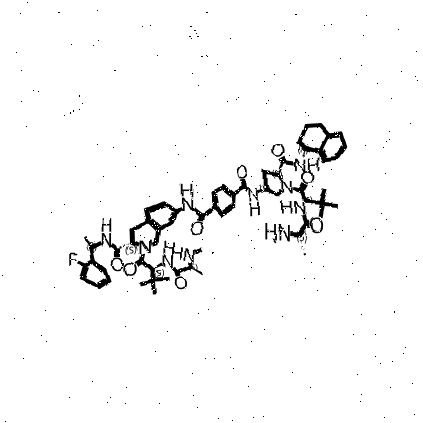 CN[C@@H](C)C(=O)N[C@H](C(=O)N1Cc2cc(NC(=O)c3ccc(C(=O)N[C@H]4C[C@@H](C(=O)N[C@@H]5CCCc6ccccc65)N(C(=O)[C@@H](NC(=O)[C@H](C)NC)C(C)(C)C)C4)cc3)ccc2C[C@H]1C(=O)N[C@H](C)c1ccccc1F)C(C)(C)C